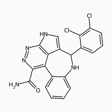 NC(=O)c1nnc2[nH]cc3c2c1-c1ccccc1NC3c1cccc(Cl)c1Cl